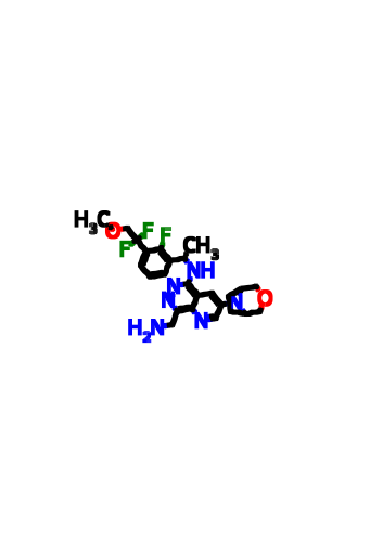 COCC(F)(F)c1cccc([C@@H](C)Nc2nnc(CN)c3ncc(N4C5CCC4COC5)cc23)c1F